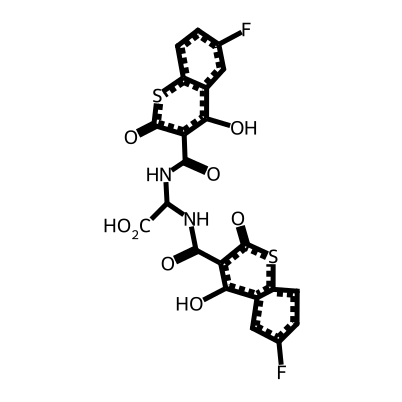 O=C(NC(NC(=O)c1c(O)c2cc(F)ccc2sc1=O)C(=O)O)c1c(O)c2cc(F)ccc2sc1=O